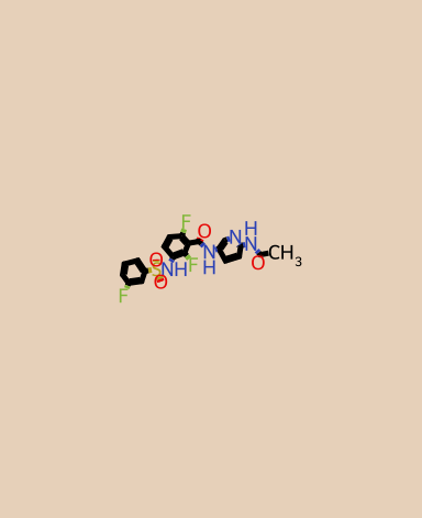 CC(=O)Nc1ccc(NC(=O)c2c(F)ccc(NS(=O)(=O)c3cccc(F)c3)c2F)cn1